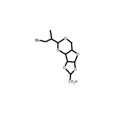 CC(CC(C)(C)C)C1OCC2OC3OC(C(=O)O)OC3C2O1